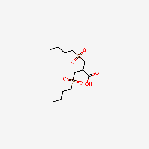 CCCCS(=O)(=O)CC(CS(=O)(=O)CCCC)C(=O)O